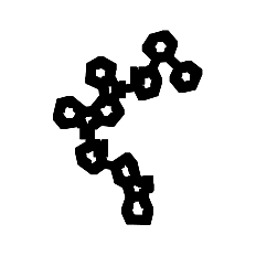 c1ccc(-c2ccccc2-c2cccc(-n3c4ccccc4c4c5c6ccccc6n(-c6cccc(-c7ccc8sc9ccccc9c8c7)n6)c5ccc43)n2)cc1